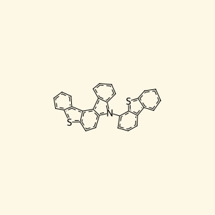 c1ccc2c(c1)sc1c(-n3c4ccccc4c4c5c(ccc43)sc3ccccc35)cccc12